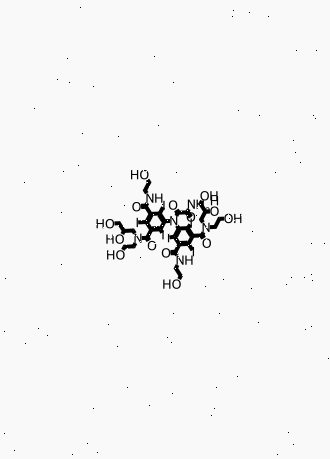 NC(=O)C(=O)N(c1c(I)c(C(=O)NCCO)c(I)c(C(=O)N(CCO)CC(O)CO)c1I)c1c(I)c(C(=O)NCCO)c(I)c(C(=O)N(CCO)CC(O)CO)c1I